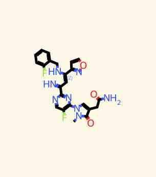 Cn1c(=O)c(CC(N)=O)cn1-c1nc(C(=N)/C=C(\NCc2ccccc2F)c2ccon2)ncc1F